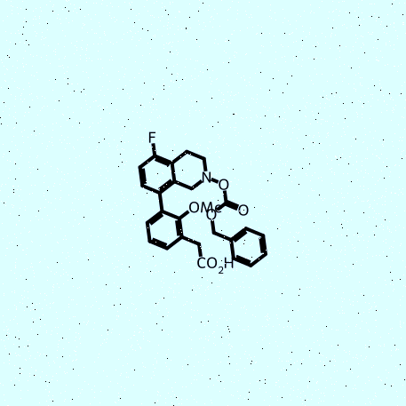 COc1c(CC(=O)O)cccc1-c1ccc(F)c2c1CN(OC(=O)OCc1ccccc1)CC2